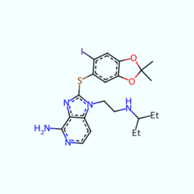 CCC(CC)NCCn1c(Sc2cc3c(cc2I)OC(C)(C)O3)nc2c(N)nccc21